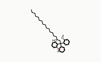 CCCCCCCCCCCCCCCC(O)CC(c1ccccc1)(c1ccccc1OC)c1ccccc1OC